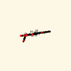 CCCCCCCCCCCCCCCCNC(=O)C(N)CCC(=O)NCCCCOC(=O)C(CCCCCC)CCCCCCCC